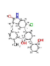 Cc1ccc(C2CC23C(=O)Nc2cc(Cl)c(-c4ccc(-c5ccccc5O)cc4)cc23)cc1CO